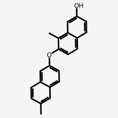 Cc1ccc2cc(Oc3ccc4ccc(O)cc4c3C)ccc2c1